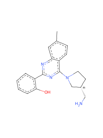 Cc1ccc2c(N3CC[C@H](CN)C3)nc(-c3ccccc3O)nc2c1